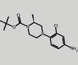 C[C@H]1CN(c2ccc(N)cc2Cl)CCN1C(=O)OC(C)(C)C